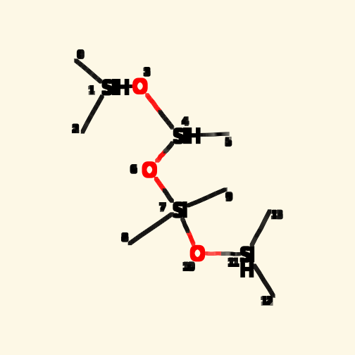 C[SiH](C)O[SiH](C)O[Si](C)(C)O[SiH](C)C